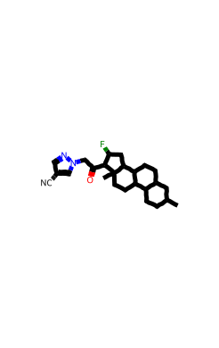 CC1CCC2C(CCC3C2CCC2(C)C3CC(F)C2C(=O)Cn2cc(C#N)cn2)C1